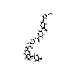 Nc1nnc(-c2ccc(C3=CCN(C(=O)CN4CC[C@@](O)(C(=O)Nc5ccc6[nH]nc(-c7ccc(F)cc7)c6c5)C4)CC3)c(F)c2)o1